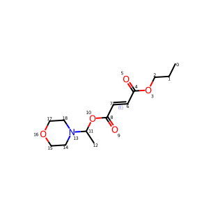 CCCOC(=O)/C=C/C(=O)OC(C)N1CCOCC1